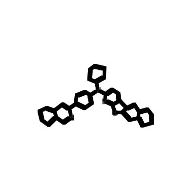 c1ccc(N(c2ccc(-c3cc4ccccc4cn3)cc2)c2ccc3c(n2)oc2cc4ccccc4cc23)cc1